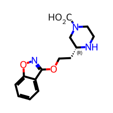 O=C(O)N1CCN[C@H](CCOc2noc3ccccc23)C1